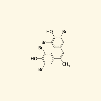 CC(=Cc1cc(Br)c(O)c(Br)c1)c1cc(Br)c(O)c(Br)c1